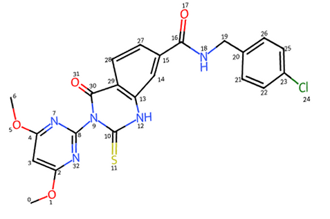 COc1cc(OC)nc(-n2c(=S)[nH]c3cc(C(=O)NCc4ccc(Cl)cc4)ccc3c2=O)n1